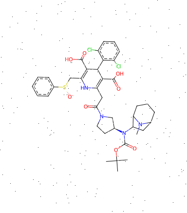 CN1C2CCCC1C(N(C(=O)OC(C)(C)C)[C@H]1CCN(C(=O)CC3=C(C(=O)O)C(c4c(Cl)cccc4Cl)C(C(=O)O)=C(C[S@+]([O-])c4ccccc4)N3)C1)C2